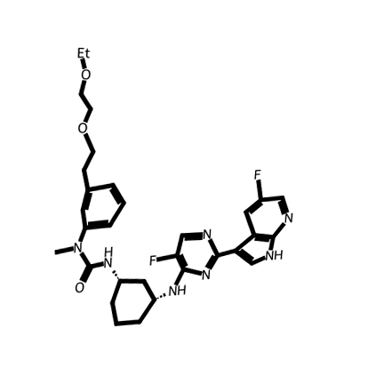 CCOCCOCCc1cccc(N(C)C(=O)N[C@H]2CCC[C@@H](Nc3nc(-c4c[nH]c5ncc(F)cc45)ncc3F)C2)c1